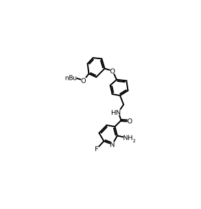 CCCCOc1cccc(Oc2ccc(CNC(=O)c3ccc(F)nc3N)cc2)c1